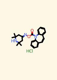 CC1(C)CC(=NOC(=O)N2c3ccccc3C=Cc3ccccc32)CC(C)(C)N1.Cl